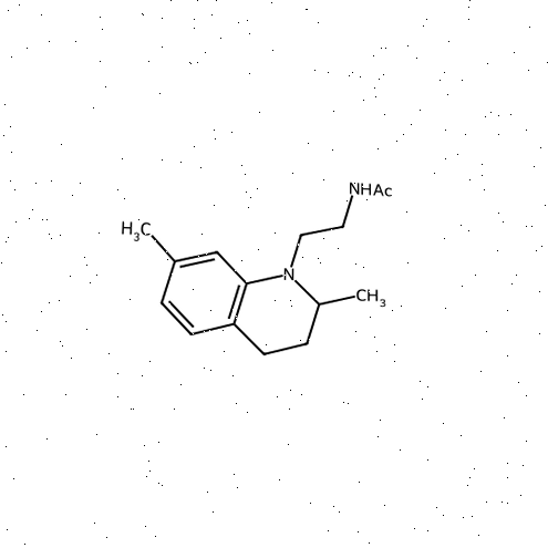 CC(=O)NCCN1c2cc(C)ccc2CCC1C